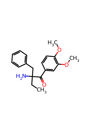 CCC(N)(Cc1ccccc1)C(=O)c1ccc(OC)c(OC)c1